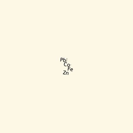 [Co].[Fe].[Pb].[Zn]